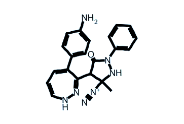 CC1([N+]#N)NN(c2ccccc2)C(=O)C1C1=NNC=CC=C1c1ccc(N)cc1